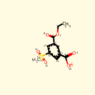 CCOC(=O)c1cc(C(=O)O)cc(S(C)(=O)=O)c1